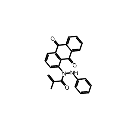 C=C(C)C(=O)N(Nc1ccccc1)c1cccc2c1C(=O)c1ccccc1C2=O